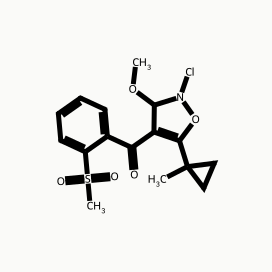 COC1C(C(=O)c2ccccc2S(C)(=O)=O)=C(C2(C)CC2)ON1Cl